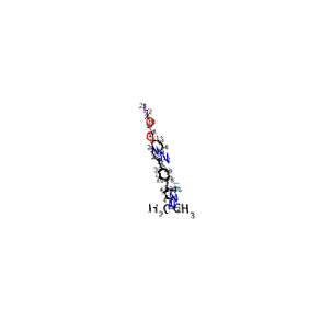 CN(C)c1ccc(-c2ccc(C3=NC4C=CC(OCCOCCI)=CN4C3)cc2)c(F)n1